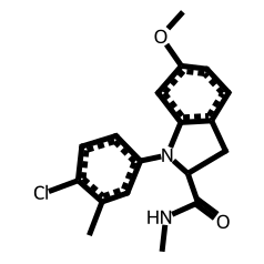 CNC(=O)C1Cc2ccc(OC)cc2N1c1ccc(Cl)c(C)c1